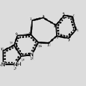 c1ccc2c(c1)CCc1cc3cn[nH]c3nc1C2